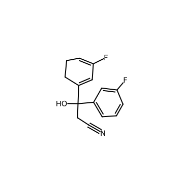 N#CCC(O)(C1=CC(F)=CCC1)c1cccc(F)c1